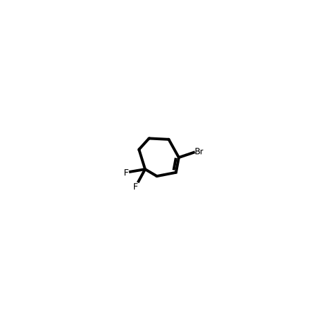 FC1(F)CC=C(Br)CCC1